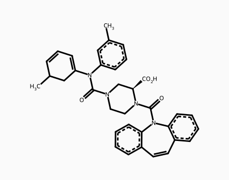 Cc1cccc(N(C(=O)N2CCN(C(=O)N3c4ccccc4C=Cc4ccccc43)[C@H](C(=O)O)C2)C2=CC=CC(C)C2)c1